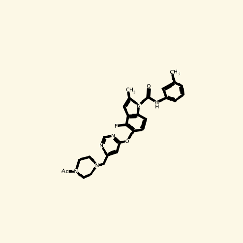 CC(=O)N1CCN(Cc2cc(Oc3ccc4c(cc(C)n4C(=O)Nc4cccc(C)c4)c3F)ncn2)CC1